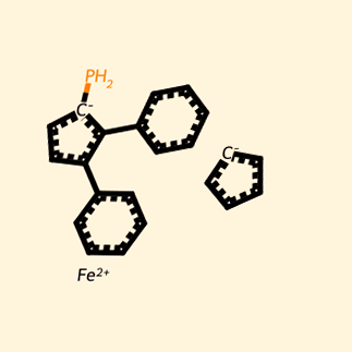 P[c-]1ccc(-c2ccccc2)c1-c1ccccc1.[Fe+2].c1cc[cH-]c1